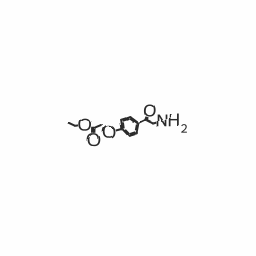 CCOC(=O)COc1ccc(C(=O)CN)cc1